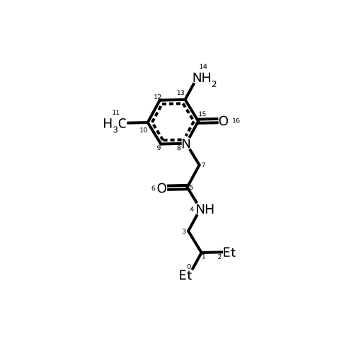 CCC(CC)CNC(=O)Cn1cc(C)cc(N)c1=O